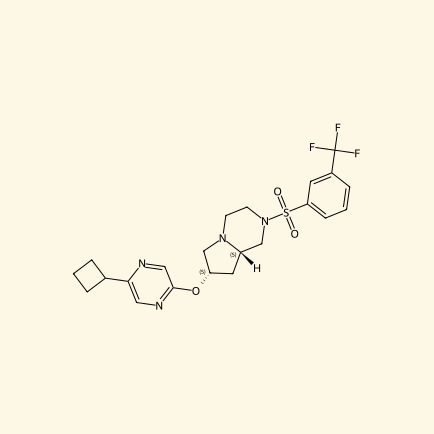 O=S(=O)(c1cccc(C(F)(F)F)c1)N1CCN2C[C@@H](Oc3cnc(C4CCC4)cn3)C[C@H]2C1